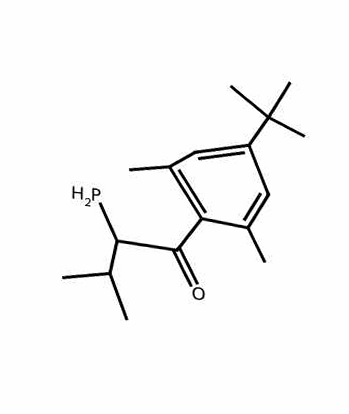 Cc1cc(C(C)(C)C)cc(C)c1C(=O)C(P)C(C)C